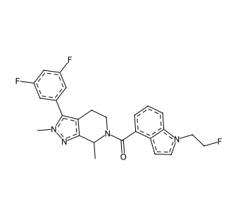 CC1c2nn(C)c(-c3cc(F)cc(F)c3)c2CCN1C(=O)c1cccc2c1ccn2CCF